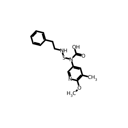 COc1ncc(N(SNCCc2ccccc2)C(=O)O)cc1C